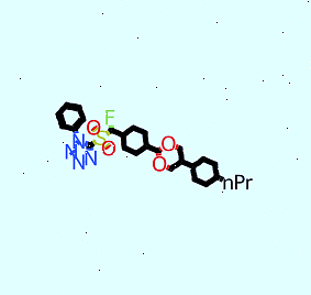 CCCC1CCC(C2COC(C3CCC(C(F)S(=O)(=O)c4nnnn4-c4ccccc4)CC3)OC2)CC1